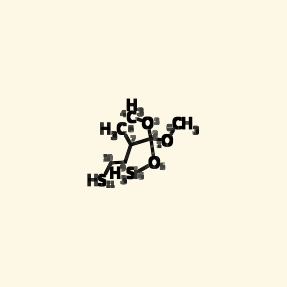 COC(OC)(O[SiH3])C(C)CCS